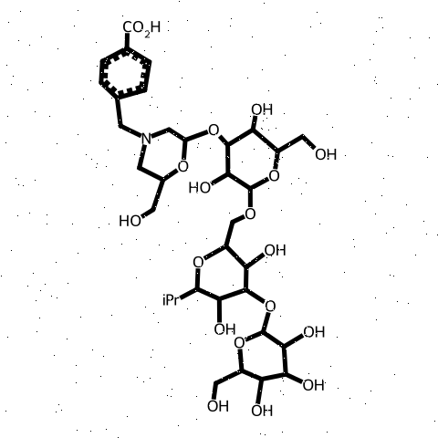 CC(C)C1OC(COC2OC(CO)C(O)C(OC3CN(Cc4ccc(C(=O)O)cc4)CC(CO)O3)C2O)C(O)C(OC2OC(CO)C(O)C(O)C2O)C1O